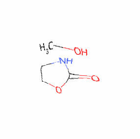 CO.O=C1NCCO1